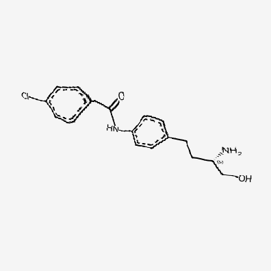 N[C@H](CO)CCc1ccc(NC(=O)c2ccc(Cl)cc2)cc1